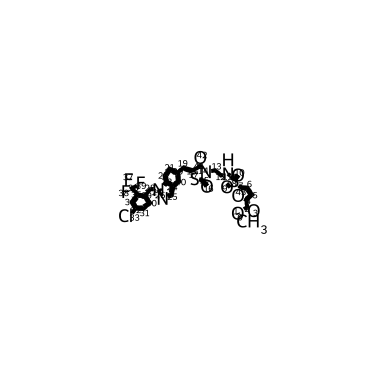 COC(=O)c1ccc(S(=O)(=O)NCCN2C(=O)SC(=Cc3ccc4c(cnn4Cc4ccc(Cl)cc4C(F)(F)F)c3)C2=O)o1